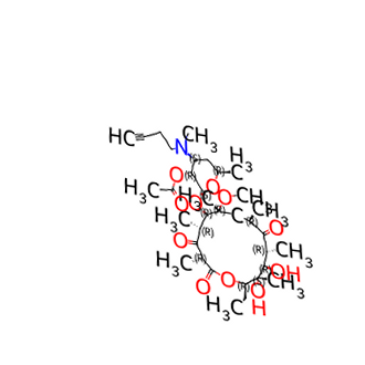 C#CCCN(C)[C@H]1C[C@@H](C)O[C@@H](O[C@@H]2[C@@H](C)C(=O)[C@@H](C)C(=O)O[C@H](CC)[C@@](C)(O)[C@H](O)[C@@H](C)C(=O)[C@H](C)C[C@@]2(C)OC)[C@@H]1OC(C)=O